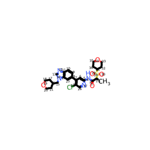 CC(C(=O)Nc1cc(-c2ccc3ncn(CC4CCOCC4)c3c2)c(Cl)cn1)S(=O)(=O)C1CCOCC1